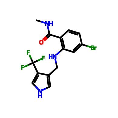 CNC(=O)c1ccc(Br)cc1NCc1c[nH]cc1C(F)(F)F